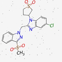 CS(=O)(=O)c1nn(Cc2nc3cc(Cl)ccc3n2C2CCS(=O)(=O)C2)c2ccccc12